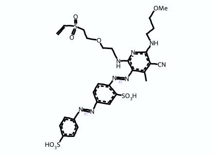 C=CS(=O)(=O)CCOCCNc1nc(NCCCOC)c(C#N)c(C)c1/N=N/c1ccc(/N=N/c2ccc(S(=O)(=O)O)cc2)cc1S(=O)(=O)O